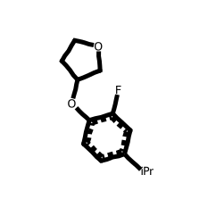 CC(C)c1ccc(OC2CCOC2)c(F)c1